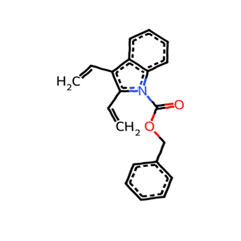 C=Cc1c(C=C)n(C(=O)OCc2ccccc2)c2ccccc12